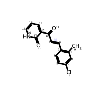 Cc1cc(Cl)ccc1/C=C/C(=O)c1ccc[nH]c1=O